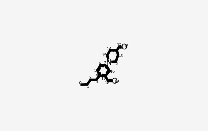 CCCCc1ccc(N2CCC(C=O)CC2)cc1C=O